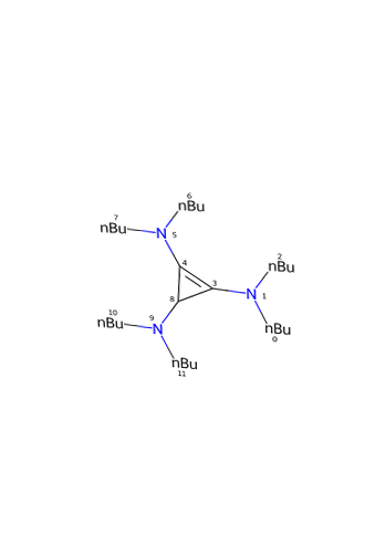 CCCCN(CCCC)C1=C(N(CCCC)CCCC)C1N(CCCC)CCCC